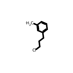 [CH2]c1cccc(CCCCl)c1